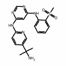 CC(C)(N)c1ccc(Nc2cc(Nc3ccccc3S(C)(=O)=O)ncn2)nc1